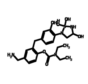 CCN(CC)C(=O)Oc1ccc(CN)cc1Cc1ccc(N2CC(O)NS2(O)O)c(O)c1